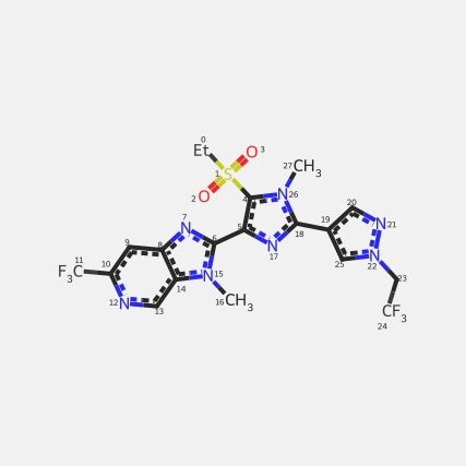 CCS(=O)(=O)c1c(-c2nc3cc(C(F)(F)F)ncc3n2C)nc(-c2cnn(CC(F)(F)F)c2)n1C